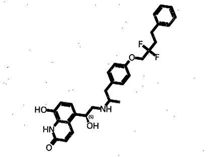 CC(Cc1ccc(OCC(F)(F)CCc2ccccc2)cc1)NC[C@@H](O)c1ccc(O)c2[nH]c(=O)ccc12